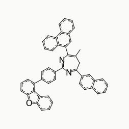 CC1=C(c2cc3ccccc3c3ccccc23)N=C(c2ccc(-c3cccc4oc5ccccc5c34)cc2)N=C(c2ccc3ccccc3c2)C1